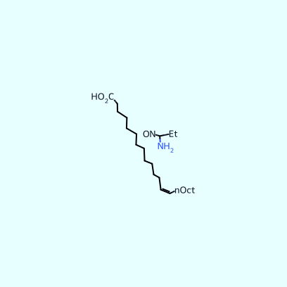 CCC(N)N=O.CCCCCCCC/C=C\CCCCCCCCCCCC(=O)O